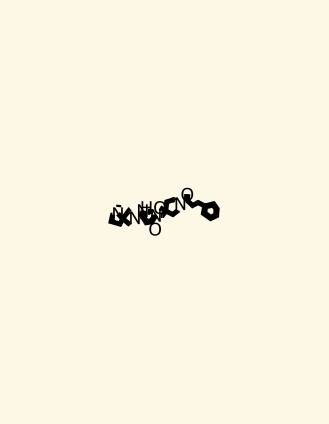 CN1CCCC12CN(c1cc(=O)n(CC3(O)CCN(C(=O)CCc4ccccc4)CC3)cn1)C2